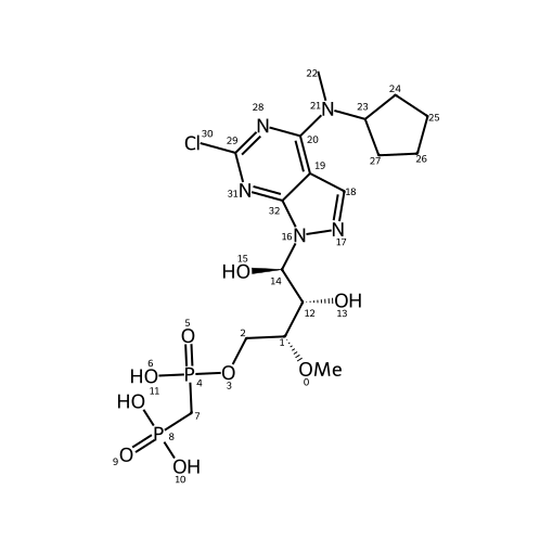 CO[C@H](COP(=O)(O)CP(=O)(O)O)[C@@H](O)[C@@H](O)n1ncc2c(N(C)C3CCCC3)nc(Cl)nc21